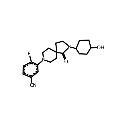 N#Cc1ccc(F)c(N2CCC3(CC2)CCN(C2CCC(O)CC2)C3=O)c1